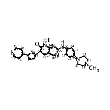 CCn1c(=O)c(-c2ccc(-c3ccncc3)s2)cc2cnc(Nc3ccc(N4CCN(C)CC4)cc3)nc21